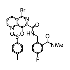 CNC(=O)c1cc(F)ccc1CNC(=O)c1nc(Br)c2cccnc2c1OS(=O)c1ccc(C)cc1